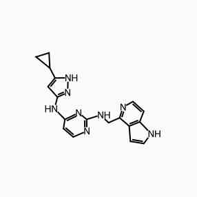 c1cc(Nc2cc(C3CC3)[nH]n2)nc(NCc2nccc3[nH]ccc23)n1